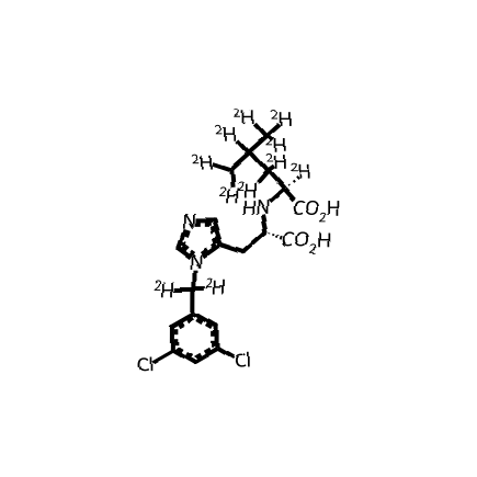 [2H]C([2H])C([2H])(C([2H])([2H])[2H])C([2H])([2H])[C@]([2H])(N[C@@H](Cc1cncn1C([2H])([2H])c1cc(Cl)cc(Cl)c1)C(=O)O)C(=O)O